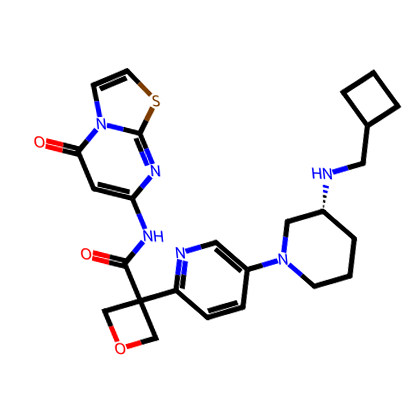 O=C(Nc1cc(=O)n2ccsc2n1)C1(c2ccc(N3CCC[C@@H](NCC4CCC4)C3)cn2)COC1